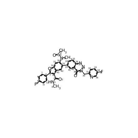 CNC(=O)c1c(-c2ccc(F)cc2)oc2cc(N(C)[S+](C)[O-])c(-c3ccc4nnn(Cc5ccc(F)cn5)c(=O)c4c3)cc12